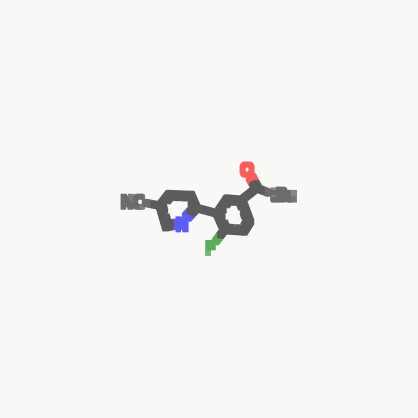 CC(C)(C)C(=O)c1ccc(F)c(-c2ccc(C#N)cn2)c1